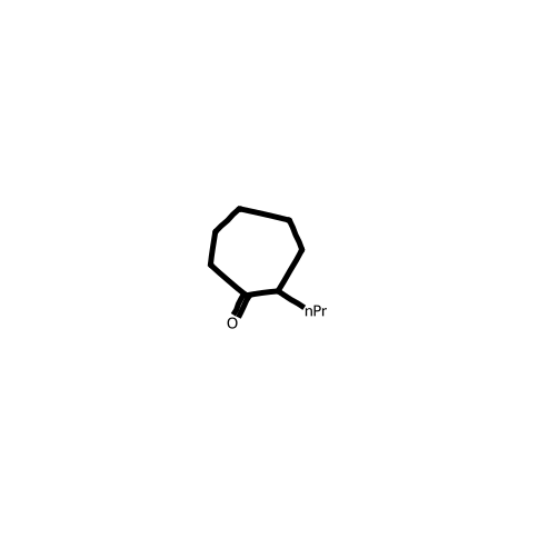 [CH2]CCC1CCCCCC1=O